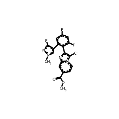 COC(=O)c1ccn2c(Cl)c(-c3c(F)cc(F)cc3-c3cn(C)nc3F)nc2c1